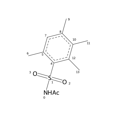 CC(=O)NS(=O)(=O)c1c(C)cc(C)c(C)c1C